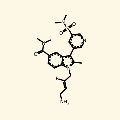 Cc1c(-c2cncc(S(=O)(=O)N(C)C)c2)c2cc(C(=O)N(C)C)ccc2n1CC(F)=CCN